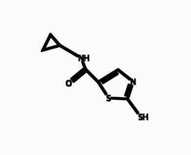 O=C(NC1CC1)c1cnc(S)s1